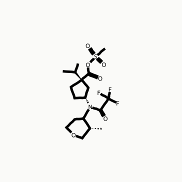 CC(C)[C@]1(C(=O)OS(C)(=O)=O)CC[C@@H](N(C(=O)C(F)(F)F)C2CCOC[C@H]2C)C1